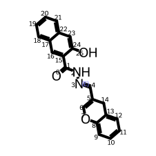 O=C(N/N=C/C1=COc2ccccc2C1)c1cc2ccccc2cc1O